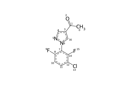 CC(=O)c1cnn(-c2c(F)ccc(Cl)c2F)c1